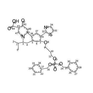 CC(C)C1Cc2cc(OCCCOP(=O)(OCc3ccccc3)OCc3ccccc3)c(-c3nccs3)cc2-c2cc(=O)c(C(=O)O)cn21